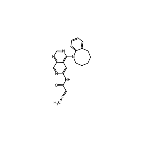 C=C=CC(=O)Nc1cc2c(N3CCCCCc4ccccc43)ncnc2cn1